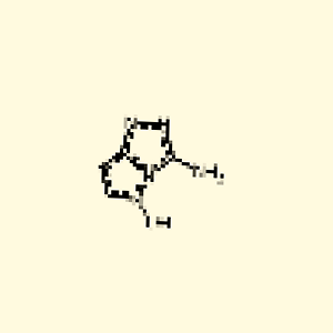 Nc1nnc2ccn(O)n12